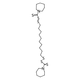 S=C(SSCCCCCCCCCCSSC(=S)N1CCCCCC1)N1CCCCCC1